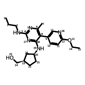 CCCNc1nc(C)c(-c2ccc(OCC)nc2)c(N[C@H]2CC[C@@H](CO)C2)n1